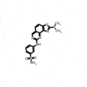 CN(C)c1nc2c(ccc3cnc(Nc4cccc(S(N)(=O)=O)c4)nc32)s1